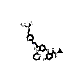 CCN(CC)CCc1ccc(/C=C/c2nn(C3CCCCO3)c3cc(Sc4cc(F)ccc4C(=O)NC4CC4)ccc23)nc1